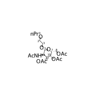 CCCOCCO[C@@H]1O[C@H](COC(C)=O)[C@H](OC(C)=O)[C@H](OC(C)=O)[C@H]1NC(C)=O